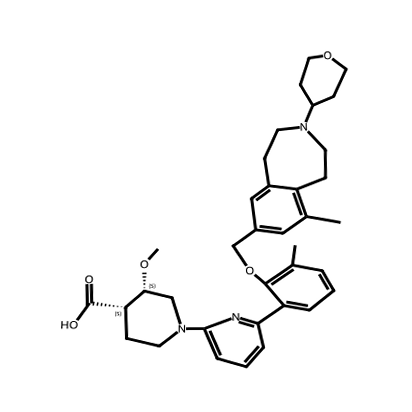 CO[C@@H]1CN(c2cccc(-c3cccc(C)c3OCc3cc(C)c4c(c3)CCN(C3CCOCC3)CC4)n2)CC[C@@H]1C(=O)O